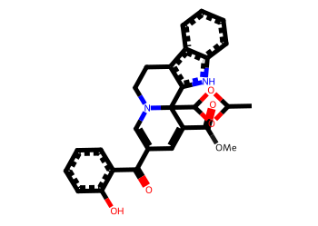 COC(=O)C1=CC(C(=O)c2ccccc2O)=CN2CCc3c([nH]c4ccccc34)C12C1OC(C)O1